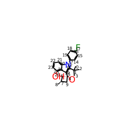 CC1(C)CO[C@]2(C[C@H](C)C2)c2c1n(-c1ccc(F)cc1)c1cccc(O)c12